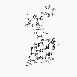 CCOC(=O)C1CC2(CCN(c3cc(O[C@H](c4ccc(Cl)cc4N/C=C\C(C)=N)C(F)(F)F)nc(S(C)(=O)=O)n3)CC2)CN1C(=O)OCc1ccccc1